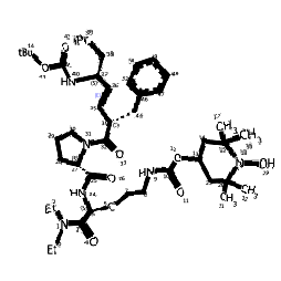 CCN(CC)C(=O)[C@H](CCCNC(=O)OC1CC(C)(C)N(O)C(C)(C)C1)NC(=O)[C@@H]1CCCN1C(=O)[C@H](/C=C/[C@H](CC(C)C)NC(=O)OC(C)(C)C)Cc1ccccc1